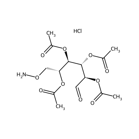 CC(=O)O[C@@H]([C@H](OC(C)=O)[C@@H](CON)OC(C)=O)[C@H](C=O)OC(C)=O.Cl